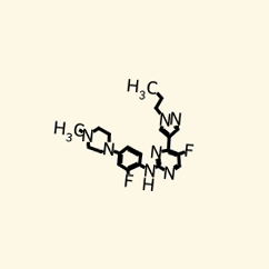 CCCn1cc(-c2nc(Nc3ccc(N4CCN(C)CC4)cc3F)ncc2F)cn1